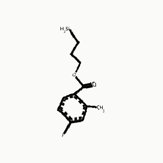 Cc1cc(I)ccc1C(=O)OCCC[SiH3]